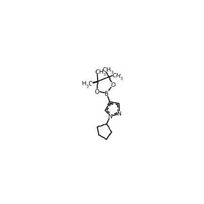 CC1(C)OB(c2cnn(C3CCCC3)c2)OC1(C)C